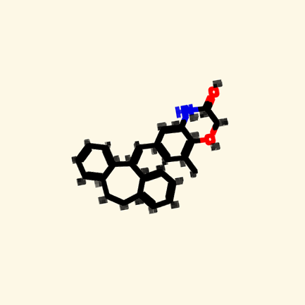 Cc1cc(C=C2c3ccccc3CCc3ccccc32)cc2c1OCC(=O)N2